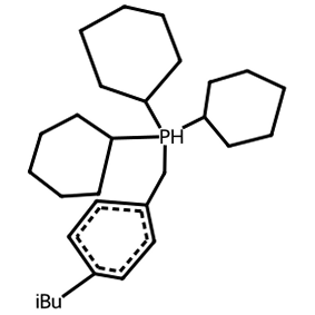 CCC(C)c1ccc(C[PH](C2CCCCC2)(C2CCCCC2)C2CCCCC2)cc1